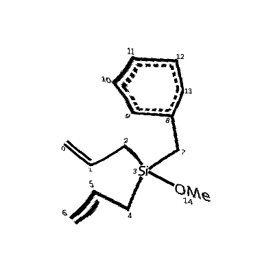 C=CC[Si](CC=C)(Cc1ccccc1)OC